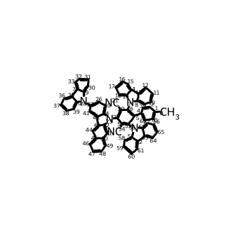 Cc1ccc(-c2c(-n3c4ccccc4c4ccccc43)c(C#N)c(-n3c4ccc(-n5c6ccccc6c6ccccc65)cc4c4cc5ccccc5cc43)c(C#N)c2-n2c3ccccc3c3ccccc32)cc1